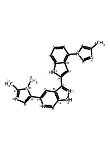 Cc1cn(-c2cccc3[nH]c(-c4n[nH]c5cnc(-c6cnc(C)n6C)cc45)cc23)cn1